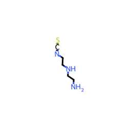 NCCNCCN=C=S